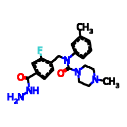 Cc1cccc(N(Cc2ccc(C(=O)NN)cc2F)C(=O)N2CCN(C)CC2)c1